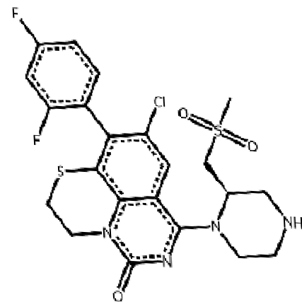 CS(=O)(=O)C[C@H]1CNCCN1c1nc(=O)n2c3c(c(-c4ccc(F)cc4F)c(Cl)cc13)SCC2